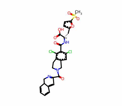 CS(=O)(=O)c1ccc(C[C@H](NC(=O)c2c(Cl)cc3c(c2Cl)CCN(C(=O)C2=NCC4C=CC=CC4=C2)C3)C(=O)O)o1